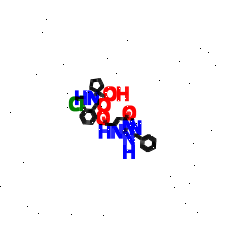 O=C(NC1(CO)CCCC1)c1c(Cl)cccc1OCC1=CC(=O)N2N=C(c3ccccc3)NC2N1